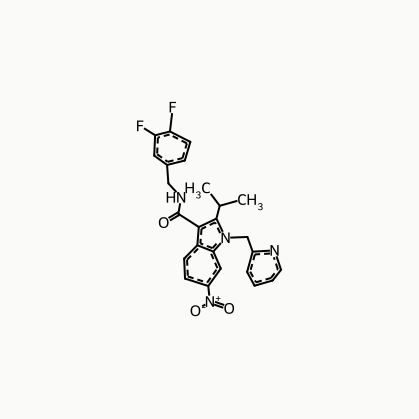 CC(C)c1c(C(=O)NCc2ccc(F)c(F)c2)c2ccc([N+](=O)[O-])cc2n1Cc1ccccn1